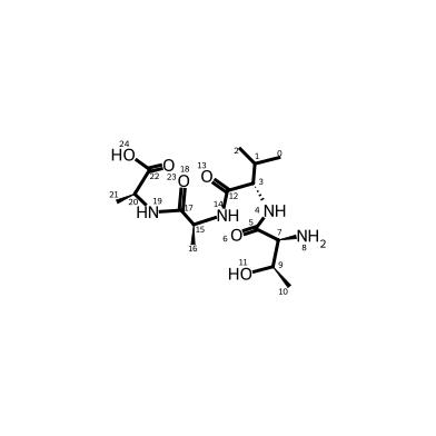 CC(C)[C@H](NC(=O)[C@@H](N)[C@@H](C)O)C(=O)N[C@@H](C)C(=O)N[C@@H](C)C(=O)O